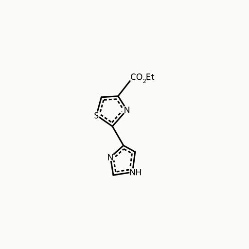 CCOC(=O)c1csc(-c2c[nH]cn2)n1